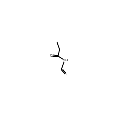 CCC(=O)NC=S